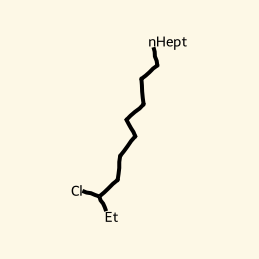 CCCCCCCCCCCCCCC(Cl)CC